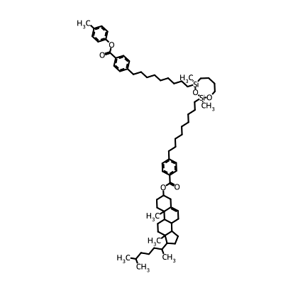 Cc1ccc(OC(=O)c2ccc(CCCCCCCCC[Si]3(C)CCCCO[Si@](C)(CCCCCCCCCc4ccc(C(=O)OC5CCC6(C)C(=CCC7C6CCC6(C)C(C(C)CCCC(C)C)CCC76)C5)cc4)O3)cc2)cc1